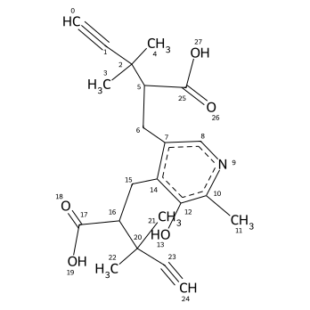 C#CC(C)(C)C(Cc1cnc(C)c(O)c1CC(C(=O)O)C(C)(C)C#C)C(=O)O